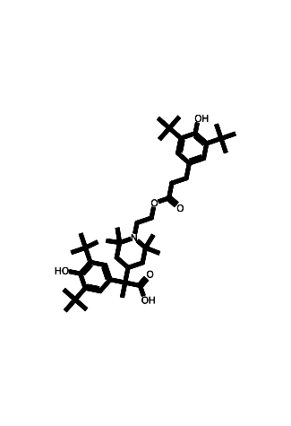 CC(C)(C)c1cc(CCC(=O)OCCN2C(C)(C)CC(C(C)(C(=O)O)c3cc(C(C)(C)C)c(O)c(C(C)(C)C)c3)CC2(C)C)cc(C(C)(C)C)c1O